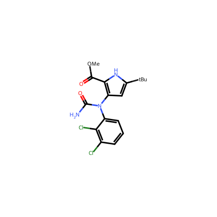 COC(=O)c1[nH]c(C(C)(C)C)cc1N(C(N)=O)c1cccc(Cl)c1Cl